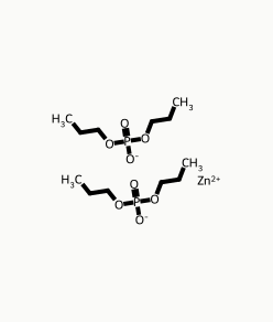 CCCOP(=O)([O-])OCCC.CCCOP(=O)([O-])OCCC.[Zn+2]